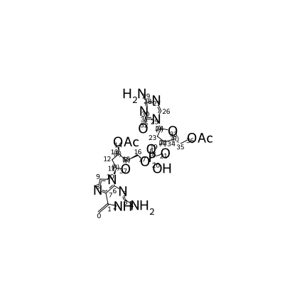 C=C1NC(N)=Nc2c1ncn2[C@H]1C[C@@H](OC(C)=O)[C@@H](COP(=O)(O)O[C@@H]2C[C@H](n3cnc(N)nc3=O)O[C@@H]2COC(C)=O)O1